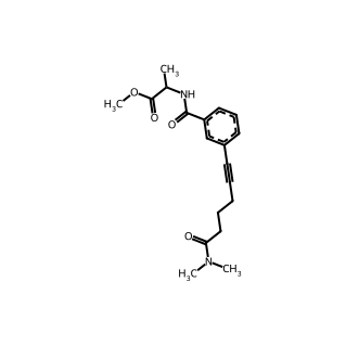 COC(=O)C(C)NC(=O)c1cccc(C#CCCCC(=O)N(C)C)c1